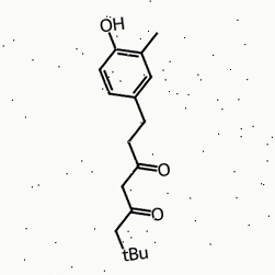 Cc1cc(CCC(=O)CC(=O)CC(C)(C)C)ccc1O